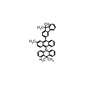 Cc1ccc2c(N3c4ccccc4C(C)(C)c4ccccc43)c3ccccc3c(-c3ccc4c(c3)-c3ccccc3C4(C)C)c2c1